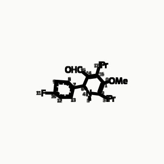 COC1=C(C(C)C)N(C)C(c2ccc(F)cc2)C(C=O)=C1C(C)C